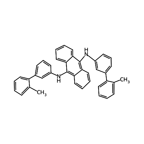 Cc1ccccc1-c1cccc(Nc2c3ccccc3c(Nc3cccc(-c4ccccc4C)c3)c3ccccc23)c1